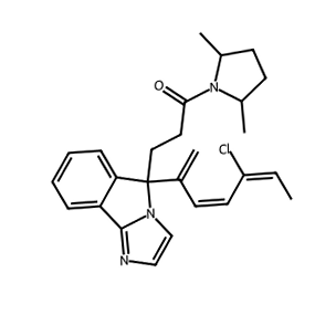 C=C(/C=C\C(Cl)=C/C)C1(CCC(=O)N2C(C)CCC2C)c2ccccc2-c2nccn21